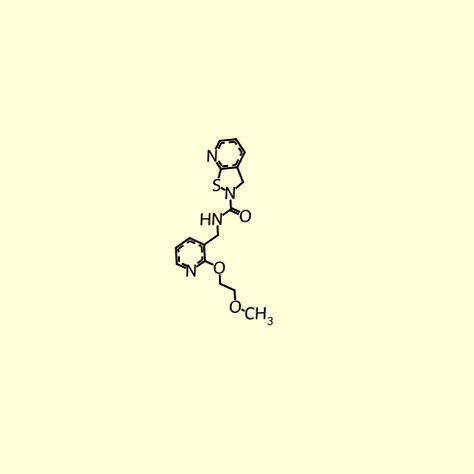 COCCOc1ncccc1CNC(=O)N1Cc2cccnc2S1